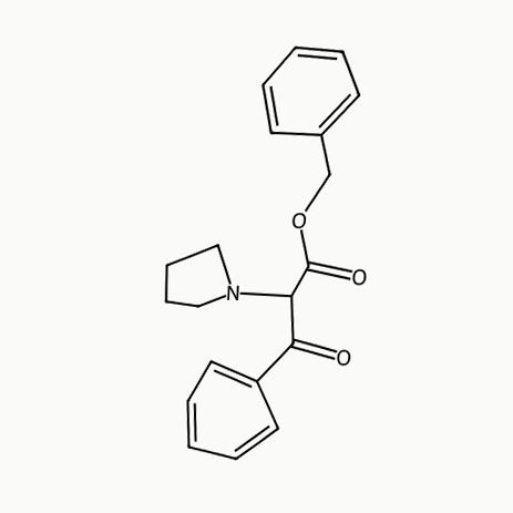 O=C(OCc1ccccc1)C(C(=O)c1ccccc1)N1CCCC1